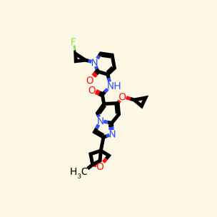 CC12CC(c3cn4cc(C(=O)Nc5cccn(C6C[C@H]6F)c5=O)c(OC5CC5)cc4n3)(CO1)C2